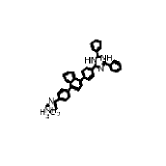 C/C=C(\N=C/N)c1ccc(-c2ccc(-c3ccc(C4N=C(c5ccccc5)NC(c5ccccc5)N4)cc3)c3ccccc23)cc1